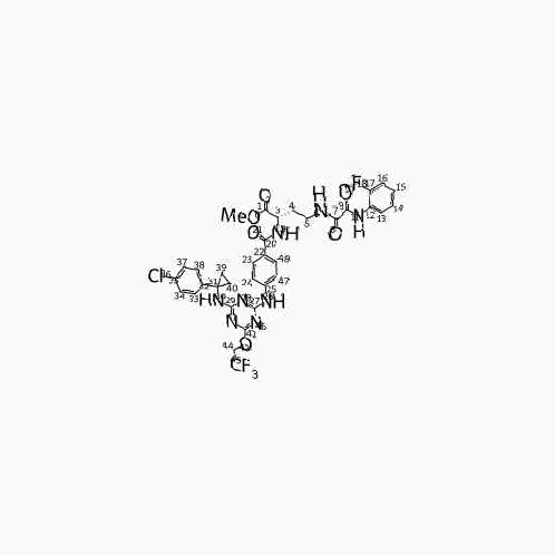 COC(=O)[C@H](CCNC(=O)C(=O)Nc1ccccc1F)NC(=O)c1ccc(Nc2nc(NC3(c4ccc(Cl)cc4)CC3)nc(OCC(F)(F)F)n2)cc1